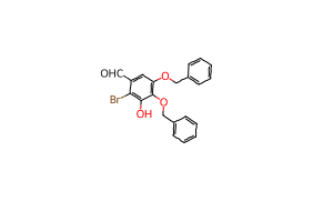 O=Cc1cc(OCc2ccccc2)c(OCc2ccccc2)c(O)c1Br